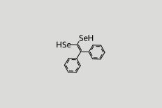 [SeH]C([SeH])=C(c1ccccc1)c1ccccc1